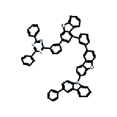 c1ccc(-c2ccc3c(c2)c2ccccc2n3-c2ccc3c(c2)oc2ccc(-c4cccc(-c5cc(-c6cccc(-c7nc(-c8ccccc8)nc(-c8ccccc8)n7)c6)cc6oc7ccccc7c56)c4)cc23)cc1